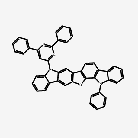 c1ccc(-c2cc(-n3c4ccccc4c4cc5oc6c(ccc7c8ccccc8n(-c8ccccc8)c76)c5cc43)nc(-c3ccccc3)n2)cc1